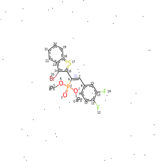 CC(C)OP(=O)(OC(C)C)/C(=C\c1ccc(F)c(F)c1)c1sc2ccccc2c1Br